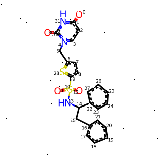 O=c1ccn(Cc2ccc(S(=O)(=O)NC(Cc3ccccc3)c3ccccc3)s2)c(=O)[nH]1